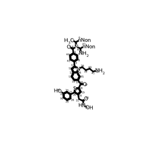 CCCCCCCCCC(C)N(C(=O)c1ccc(-c2cc3ccc(C(=O)c4cc(CC(=O)NO)c(-c5cccc(O)c5)s4)cc3n2CCCCN)cc1)C(N)CCCCCCCCC